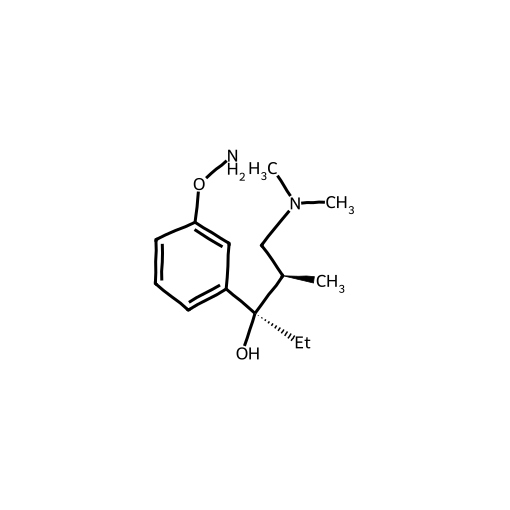 CC[C@](O)(c1cccc(ON)c1)[C@H](C)CN(C)C